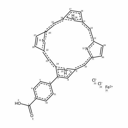 O=C(O)c1ccc(-c2cc3cc4nc(cc5ccc(cc6nc(cc2[nH]3)C=C6)[nH]5)C=C4)cc1.[Cl-].[Cl-].[Fe+2]